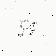 BC#N.Nc1ccccc1